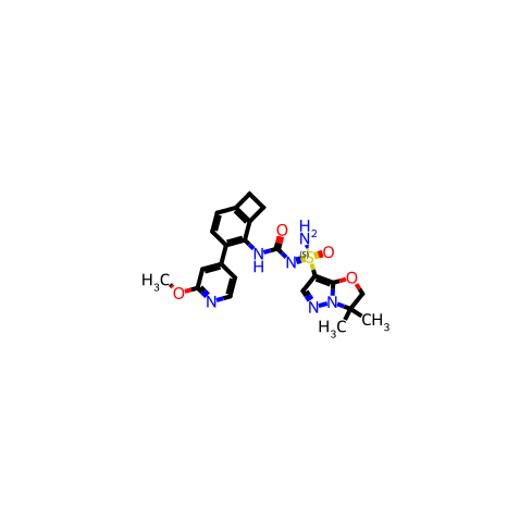 COc1cc(-c2ccc3c(c2NC(=O)N=[S@](N)(=O)c2cnn4c2OCC4(C)C)CC3)ccn1